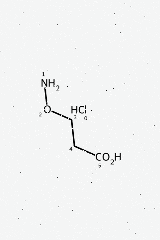 Cl.NOCCC(=O)O